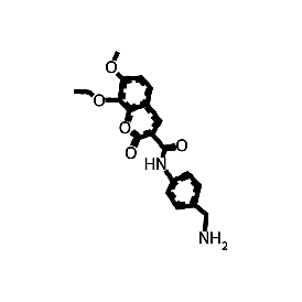 CCOc1c(OC)ccc2cc(C(=O)Nc3ccc(CN)cc3)c(=O)oc12